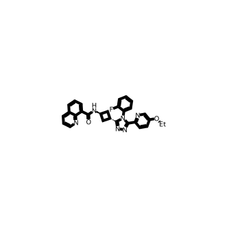 CCOc1ccc(-c2nnc([C@H]3C[C@H](NC(=O)c4cccc5cccnc45)C3)n2-c2ccccc2F)nc1